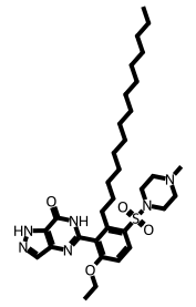 CCCCCCCCCCCCCCCc1c(S(=O)(=O)N2CCN(C)CC2)ccc(OCC)c1-c1nc2cn[nH]c2c(=O)[nH]1